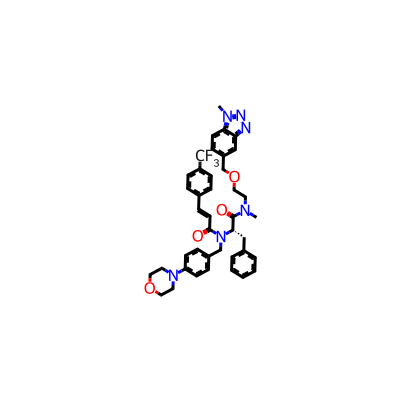 CN(CCOCc1ccc2c(c1)nnn2C)C(=O)[C@H](Cc1ccccc1)N(Cc1ccc(N2CCOCC2)cc1)C(=O)C=Cc1ccc(C(F)(F)F)cc1